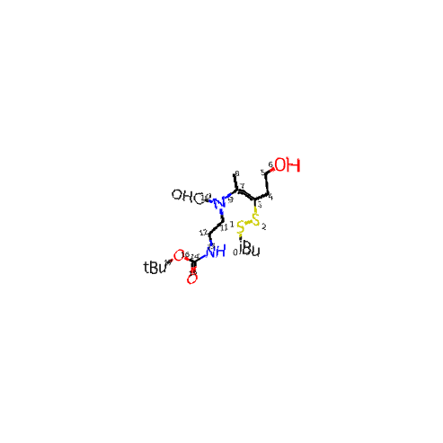 CCC(C)SSC(CCO)=C(C)N(C=O)CCNC(=O)OC(C)(C)C